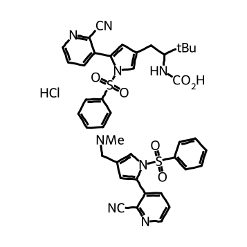 CC(C)(C)C(Cc1cc(-c2cccnc2C#N)n(S(=O)(=O)c2ccccc2)c1)NC(=O)O.CNCc1cc(-c2cccnc2C#N)n(S(=O)(=O)c2ccccc2)c1.Cl